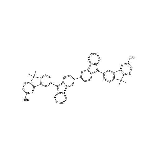 CC(C)(C)c1cnc2c(c1)-c1cc(-n3c4ccccc4c4cc(-c5ccc6c(c5)c5ccccc5n6-c5ccc6c(c5)-c5cc(C(C)(C)C)cnc5C6(C)C)ccc43)ccc1C2(C)C